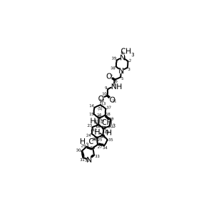 CN1CCN(CC(=O)NCC(=O)O[C@H]2CC[C@@]3(C)C(=CC[C@@H]4[C@@H]3CC[C@]3(C)C(c5cccnc5)=CC[C@@H]43)C2)CC1